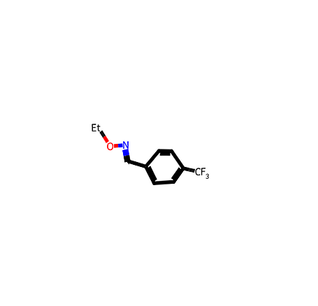 CCO/N=[C]/c1ccc(C(F)(F)F)cc1